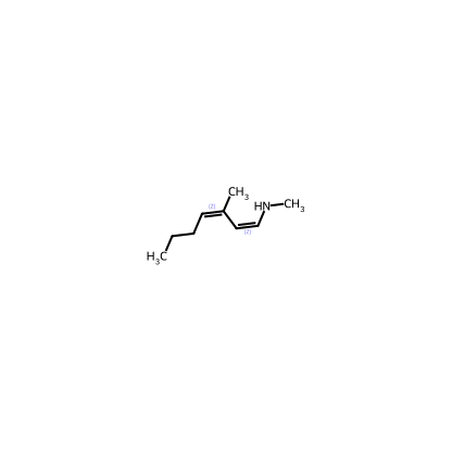 CCC/C=C(C)\C=C/NC